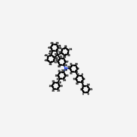 c1ccc(-c2ccc(-c3cccc(N(c4ccc(-c5ccccc5)cc4)c4ccc(C5(c6ccccc6)c6ccccc6-c6ccccc65)cc4)c3)cc2)cc1